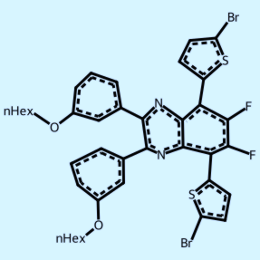 CCCCCCOc1cccc(-c2nc3c(-c4ccc(Br)s4)c(F)c(F)c(-c4ccc(Br)s4)c3nc2-c2cccc(OCCCCCC)c2)c1